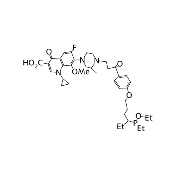 CCOP(CC)C(CC)CCCOc1ccc(C(=O)CCN2CCN(c3c(F)cc4c(=O)c(C(=O)O)cn(C5CC5)c4c3OC)CC2C)cc1